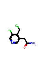 NC(=O)Cc1cncc(Cl)c1CCl